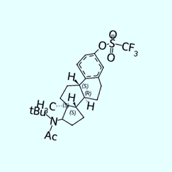 CC(=O)N(C1CC[C@H]2[C@@H]3CCc4cc(OS(=O)(=O)C(F)(F)F)ccc4[C@H]3CC[C@]12C)C(C)(C)C